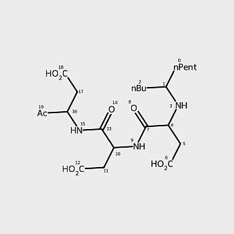 CCCCCC(CCCC)NC(CC(=O)O)C(=O)NC(CC(=O)O)C(=O)NC(CC(=O)O)C(C)=O